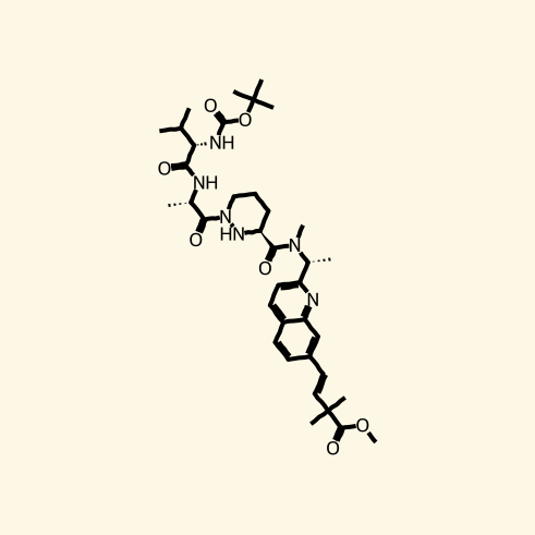 COC(=O)C(C)(C)/C=C/c1ccc2ccc([C@@H](C)N(C)C(=O)[C@@H]3CCCN(C(=O)[C@H](C)NC(=O)[C@@H](NC(=O)OC(C)(C)C)C(C)C)N3)nc2c1